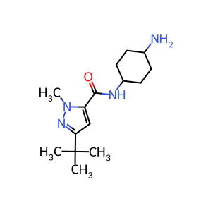 Cn1nc(C(C)(C)C)cc1C(=O)NC1CCC(N)CC1